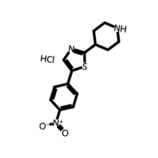 Cl.O=[N+]([O-])c1ccc(-c2cnc(C3CCNCC3)s2)cc1